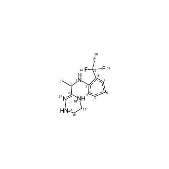 CC(Nc1ccccc1C(F)(F)F)C1=NNCCN1